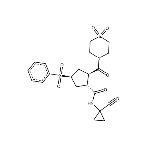 N#CC1(NC(=O)[C@@H]2C[C@@H](S(=O)(=O)c3ccccc3)C[C@H]2C(=O)N2CCS(=O)(=O)CC2)CC1